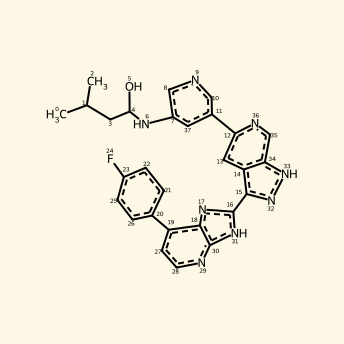 CC(C)CC(O)Nc1cncc(-c2cc3c(-c4nc5c(-c6ccc(F)cc6)ccnc5[nH]4)n[nH]c3cn2)c1